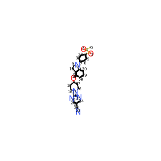 CS(=O)(=O)c1ccc(N2CCc3c(OC4CCN(c5ncc(C#N)cn5)CC4)cccc32)cc1